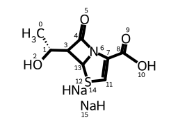 C[C@@H](O)C1C(=O)N2C(C(=O)O)=CSC12.[NaH].[NaH]